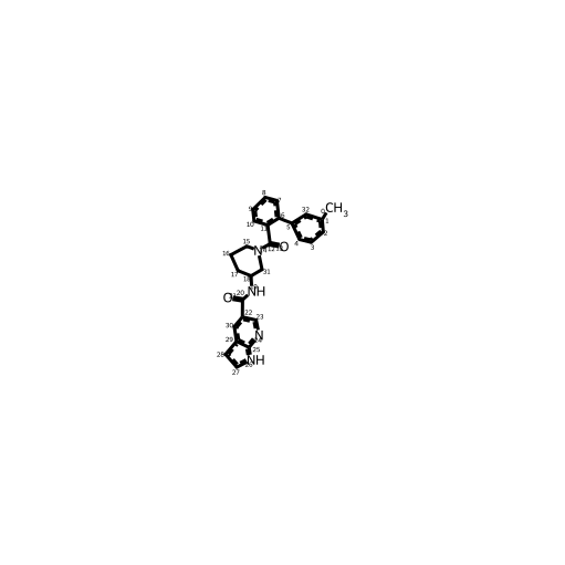 Cc1cccc(-c2ccccc2C(=O)N2CCCC(NC(=O)c3cnc4[nH]ccc4c3)C2)c1